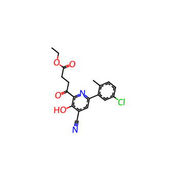 CCOC(=O)CCC(=O)c1nc(-c2cc(Cl)ccc2C)cc(C#N)c1O